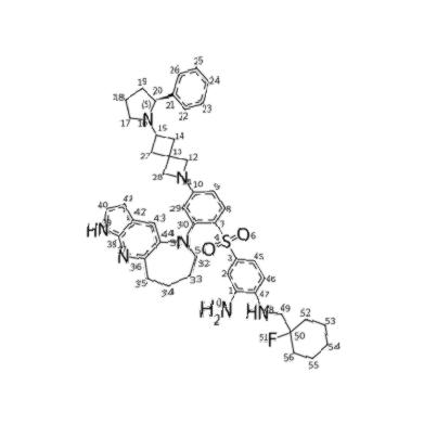 Nc1cc(S(=O)(=O)c2ccc(N3CC4(CC(N5CCC[C@H]5c5ccccc5)C4)C3)cc2N2CCCCc3nc4[nH]ccc4cc32)ccc1NCC1(F)CCCCC1